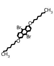 CCCCCCCCOc1ccc2c(Br)c3cc(OCCCCCCCC)ccc3c(Br)c2c1